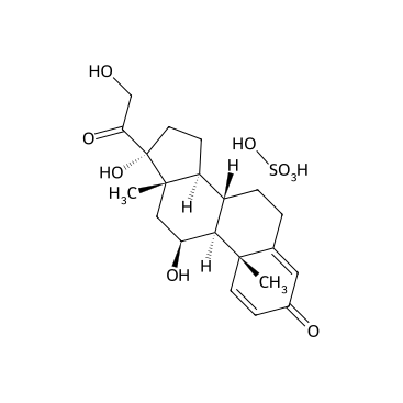 C[C@]12C=CC(=O)C=C1CC[C@@H]1[C@@H]2[C@@H](O)C[C@@]2(C)[C@H]1CC[C@]2(O)C(=O)CO.O=S(=O)(O)O